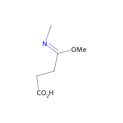 CN=C(CCC(=O)O)OC